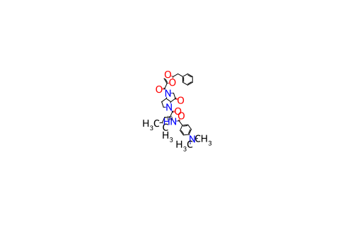 CC(C)C[C@H](NC(=O)c1ccc(N(C)C)cc1)C(=O)N1CCC2C1C(=O)CN2C(=O)C1=COC(Cc2ccccc2)O1